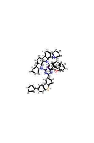 c1ccc(-c2ccc3sc4ccc(-c5nc(-c6cccc(-c7ccccn7)c6)nc(-n6c7ccccc7c7ccc8c9ccccc9n(-c9ccc%10oc%11ccccc%11c%10c9)c8c76)n5)cc4c3c2)cc1